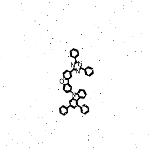 c1ccc(-c2cc(-c3ccccc3)c3c4ccccc4n(-c4ccc5oc6ccc(-c7nc(-c8ccccc8)nc(-c8ccccc8)n7)cc6c5c4)c3c2)cc1